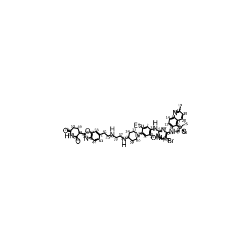 CCc1cc(Nc2ncc(Br)c(Nc3ccc4nc(C)ccc4c3P(C)(C)=O)n2)c(OC)cc1N1CCC(NCCNCCc2ccc3nc(C4CCC(=O)NC4=O)oc3c2)CC1